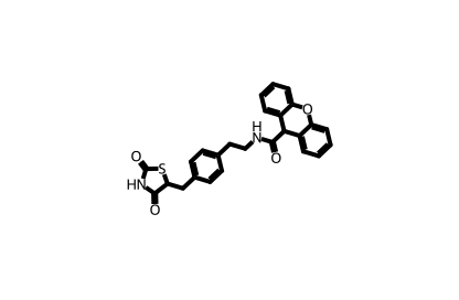 O=C1NC(=O)C(Cc2ccc(CCNC(=O)C3c4ccccc4Oc4ccccc43)cc2)S1